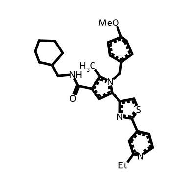 CCc1cc(-c2nc(-c3cc(C(=O)NCC4CCCCC4)c(C)n3Cc3ccc(OC)cc3)cs2)ccn1